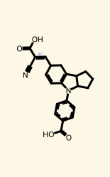 N#C/C(=C\C1C=CC2=C(C1)C1CCCC1N2c1ccc(C(=O)O)cc1)C(=O)O